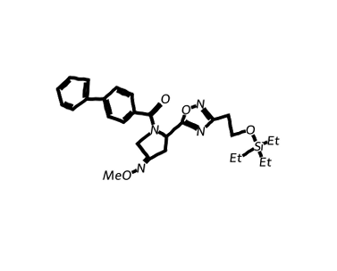 CC[Si](CC)(CC)OCCc1noc(C2CC(=NOC)CN2C(=O)c2ccc(-c3ccccc3)cc2)n1